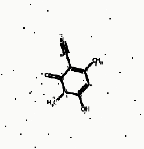 Cc1cc(O)n(C)c(=O)c1C#N